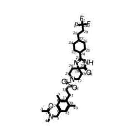 CC(=O)N(C)Cc1cc(C)c(CCS(=O)(=O)N2CCC3(CC2)N=C(C2CCC(CCC(F)(F)F)CC2)NC3=O)c(C)c1